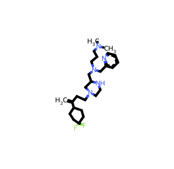 C=C(CCN1CCNC(CN(CCCN(C)C)Cc2ccccn2)C1)C1CCC(F)(F)CC1